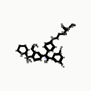 C=Cc1cc(/C(=C(\CC)c2cc(F)cc(F)c2)c2ccc(OCCNC(=O)OC(C)(C)C)cc2)ccc1N(C)C1CCCCO1